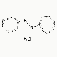 Cl.c1ccc(N=Nc2ccccc2)cc1